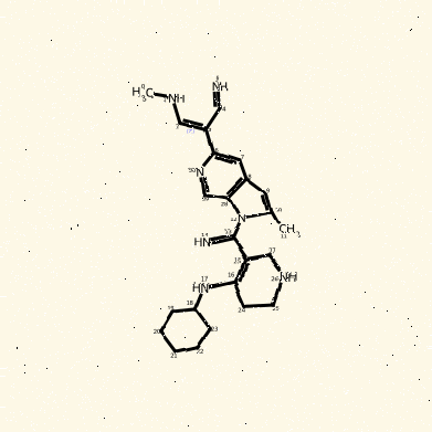 CN/C=C(\C=N)c1cc2cc(C)n(C(=N)C3=C(NC4CCCCC4)CCNC3)c2cn1